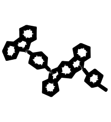 Cc1ccc(-n2c3ccccc3c3cc4c(cc32)c2ccccc2n4-c2ccc(-n3c4ccccc4c4ccccc43)cc2)cc1